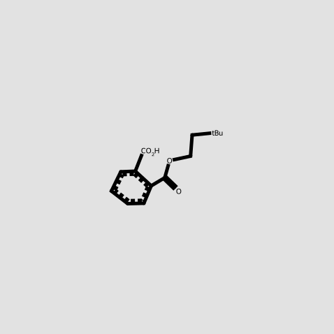 CC(C)(C)CCOC(=O)c1ccccc1C(=O)O